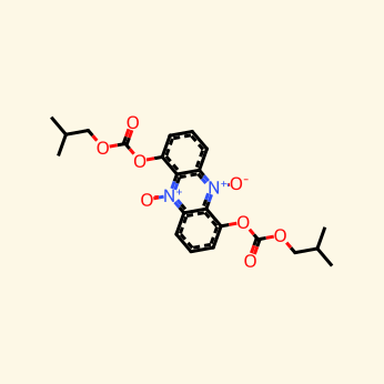 CC(C)COC(=O)Oc1cccc2c1[n+]([O-])c1cccc(OC(=O)OCC(C)C)c1[n+]2[O-]